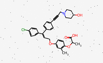 Cc1cc(OC/C=C(/c2ccc(Cl)cc2)c2ccc(C#CCN3CCC(O)CC3)cc2)ccc1OC(C)C(=O)O